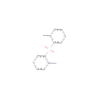 O=S(=O)(c1ccccc1I)c1ccccc1I